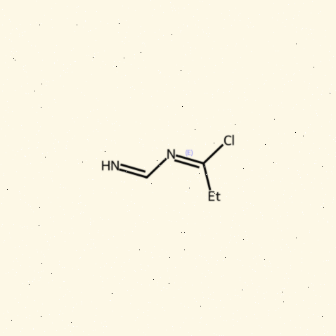 CC/C(Cl)=N\C=N